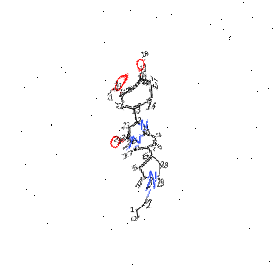 CCCN1CC=C(c2ccc3nc(-c4ccc(OC)c(OC)c4)cc(=O)n3c2)CC1